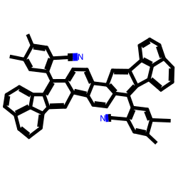 Cc1cc(C#N)c(-c2c3c(cc4c2ccc2c5cc6c(c(-c7cc(C)c(C)cc7C#N)c5ccc42)-c2cccc4cccc-6c24)-c2cccc4cccc-3c24)cc1C